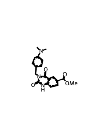 COC(=O)c1ccc2[nH]c(=O)n(Cc3ccc(N(C)C)cc3)c(=O)c2c1